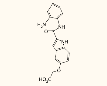 Nc1ccccc1NC(=O)c1cc2cc(OCC(=O)O)ccc2[nH]1